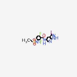 CCCS(=O)(=O)Nc1ccc(F)c(C(=O)Nc2cnc3[nH]nc(I)c3c2)c1F